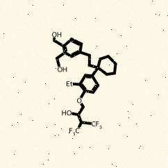 CCc1cc(C2(CCc3ccc(CO)c(CO)c3)CCCCC2)ccc1OCC(O)C(C(F)(F)F)C(F)(F)F